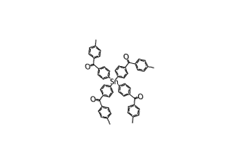 Cc1ccc(C(=O)c2cc[c]([Sn]([c]3ccc(C(=O)c4ccc(C)cc4)cc3)([c]3ccc(C(=O)c4ccc(C)cc4)cc3)[c]3ccc(C(=O)c4ccc(C)cc4)cc3)cc2)cc1